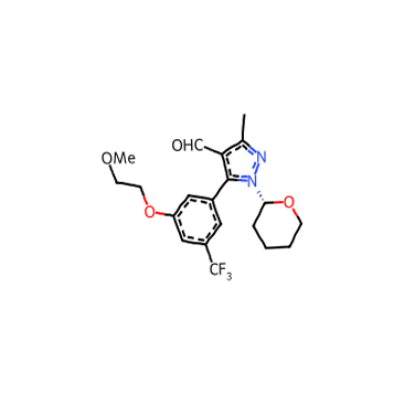 COCCOc1cc(-c2c(C=O)c(C)nn2[C@H]2CCCCO2)cc(C(F)(F)F)c1